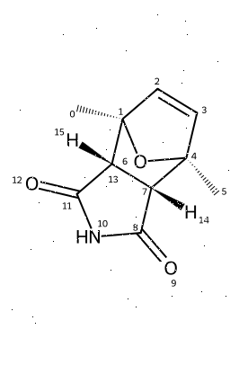 C[C@]12C=C[C@](C)(O1)[C@@H]1C(=O)NC(=O)[C@@H]12